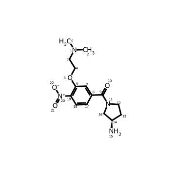 CN(C)CCOc1cc(C(=O)N2CC[C@@H](N)C2)ccc1[N+](=O)[O-]